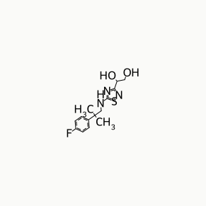 CC(C)(CNc1nc(C(O)CO)ns1)c1ccc(F)cc1